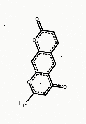 Cc1cc(=O)c2[c]c3ccc(=O)oc3cc2o1